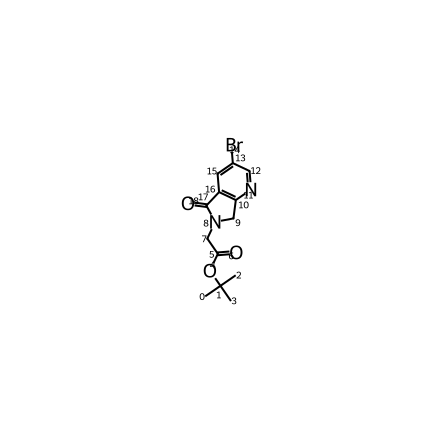 CC(C)(C)OC(=O)CN1Cc2ncc(Br)cc2C1=O